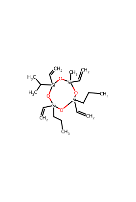 C=C[Si]1(C)O[Si](C=C)(CCC)O[Si](C=C)(CCC)O[Si](C=C)(C(C)C)O1